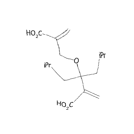 C=C(COC(CC(C)C)(CC(C)C)C(=C)C(=O)O)C(=O)O